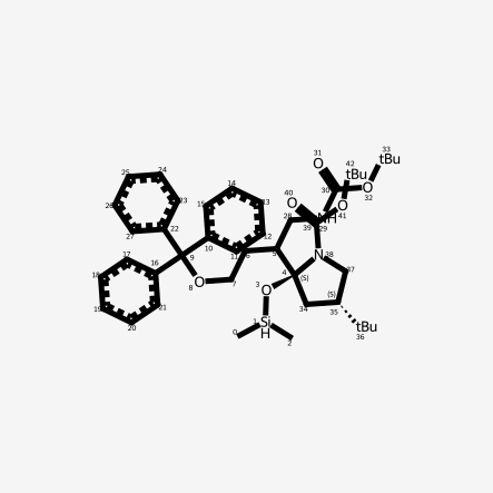 C[SiH](C)O[C@]1(C(CCOC(c2ccccc2)(c2ccccc2)c2ccccc2)CNC(=O)OC(C)(C)C)C[C@@H](C(C)(C)C)CN1C(=O)OC(C)(C)C